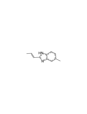 C/C=C/c1nc2cc(C)ccc2[nH]1